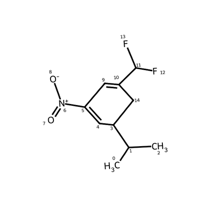 CC(C)C1C=C([N+](=O)[O-])C=C(C(F)F)C1